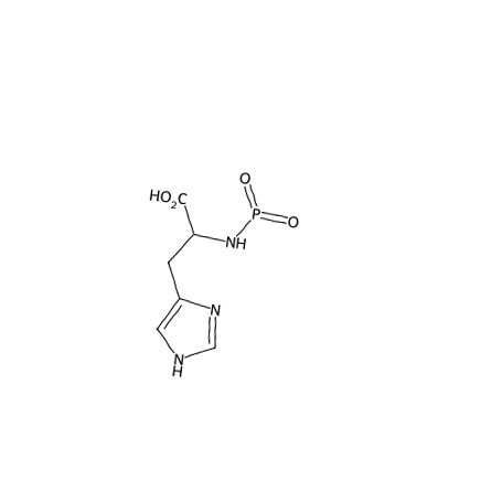 O=C(O)C(Cc1c[nH]cn1)NP(=O)=O